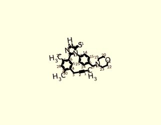 CC#CCc1cc(-c2n[nH]c(=S)n2-c2ccc(CN3CCOCC3)cc2)c(C)cc1C